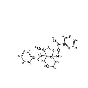 O=C(O[C@H]1CC(=O)C2(SCc3ccccc3)COCC[C@H]12)c1ccccc1